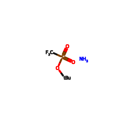 CC(C)(C)OS(=O)(=O)C(F)(F)F.N